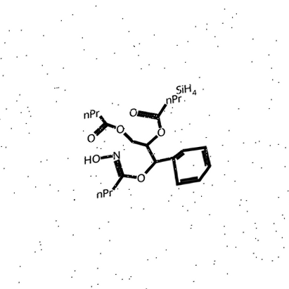 CCCC(=O)OCC(OC(=O)CCC)C(OC(CCC)=NO)c1ccccc1.[SiH4]